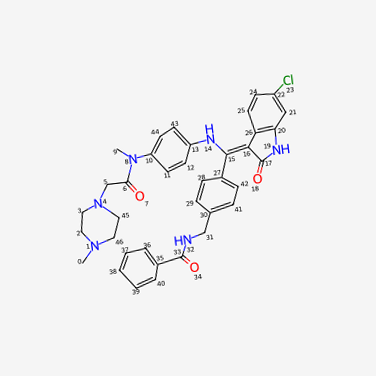 CN1CCN(CC(=O)N(C)c2ccc(NC(=C3C(=O)Nc4cc(Cl)ccc43)c3ccc(CNC(=O)c4ccccc4)cc3)cc2)CC1